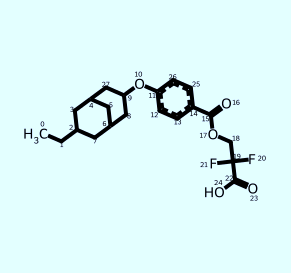 CCC1CC2CC(C1)CC(Oc1ccc(C(=O)OCC(F)(F)C(=O)O)cc1)C2